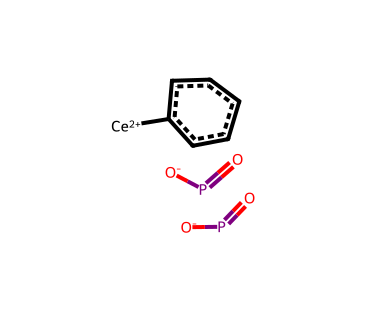 O=P[O-].O=P[O-].[Ce+2][c]1ccccc1